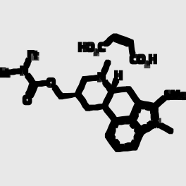 CCN(CC)C(=O)OC[C@@H]1CC2c3cccc4c3c(c(SC)n4C)C[C@H]2N(C)C1.O=C(O)/C=C\C(=O)O